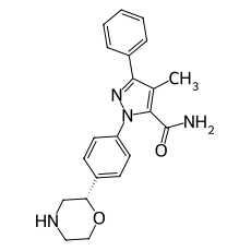 Cc1c(-c2ccccc2)nn(-c2ccc([C@H]3CNCCO3)cc2)c1C(N)=O